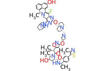 CCc1cccc2cc(O)cc(-c3ncc4c(N5CC6CCC(C5)N6)nc(OC[C@]56CCCN5[C@H](CN5CC(Oc7cc([C@@H](C(=O)N8C[C@H](O)C[C@H]8C(=O)N[C@@H](C)c8ccc(-c9scnc9C)cc8)C(C)C)on7)C5)CC6)nc4c3F)c12